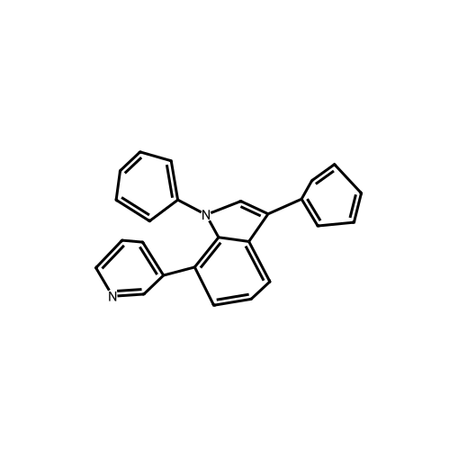 c1ccc(-c2cn(-c3ccccc3)c3c(-c4cccnc4)cccc23)cc1